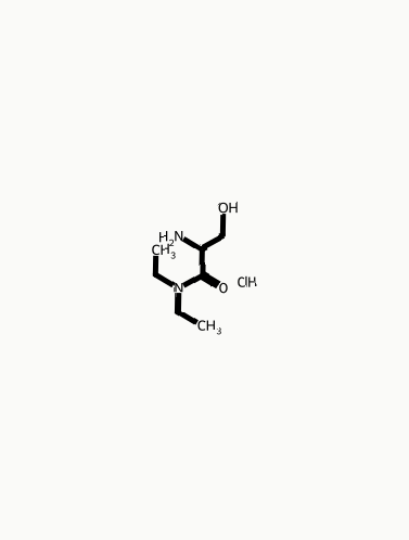 CCN(CC)C(=O)C(N)CO.Cl